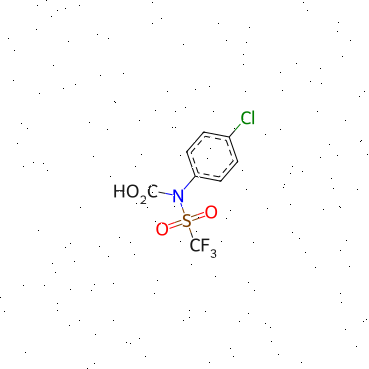 O=C(O)N(c1ccc(Cl)cc1)S(=O)(=O)C(F)(F)F